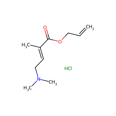 C=CCOC(=O)C(C)=CCN(C)C.Cl